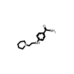 NC(=O)c1ccc(NCCN2CCCCC2)cc1